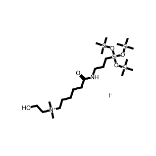 C[N+](C)(CCO)CCCCCC(=O)NCCC[Si](O[Si](C)(C)C)(O[Si](C)(C)C)O[Si](C)(C)C.[I-]